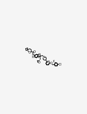 O=C(Nc1ccc2c(c1)nc(CN1CCC(c3cccc(OCc4ccc(Cl)cc4F)n3)CC1)n2C[C@@H]1CCO1)C1CCC2(CCC2)CO1